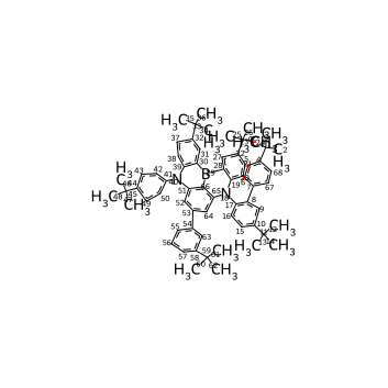 CC(C)(C)c1ccc(-c2cc(C(C)(C)C)ccc2N2c3ccc(C(C)(C)C)cc3B3c4cc(C(C)(C)C)ccc4N(c4ccc(C(C)(C)C)cc4)c4cc(-c5cccc(C(C)(C)C)c5)cc2c43)cc1